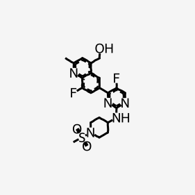 Cc1cc(CO)c2cc(-c3nc(NC4CCN(S(C)(=O)=O)CC4)ncc3F)cc(F)c2n1